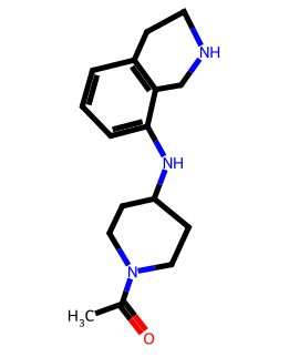 CC(=O)N1CCC(Nc2cccc3c2CNCC3)CC1